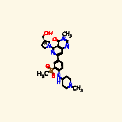 CN1CCC(Nc2ccc(-c3cc4ncn(C)c(=O)c4c(N4CC[C@H](CO)C4)n3)cc2S(C)(=O)=O)CC1